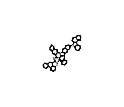 C1=Cc2c(n(-c3cc4ccccc4cc3C3=NC(c4ccccc4)NC(C4Cc5ccccc5-c5ccccc54)=N3)c3cc4ccc(-n5c6ccccc6c6c7ccccc7ccc65)cc4cc23)CC1